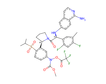 COC(=O)N(OC(=O)C(F)(F)F)c1ccc(S(=O)(=O)C(C)C)c([C@H]2CCCN2C(=O)[C@@H](Nc2ccc3c(N)nccc3c2)c2cc(C)c(F)cc2F)c1